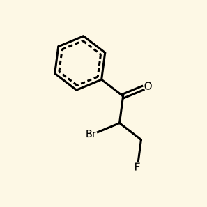 O=C(c1ccccc1)C(Br)CF